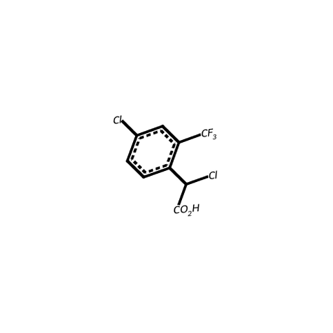 O=C(O)C(Cl)c1ccc(Cl)cc1C(F)(F)F